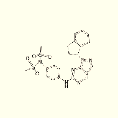 CS(=O)(=O)N(c1ccc(Nc2ncc3cnn([C@@H]4CCc5ccccc54)c3n2)cc1)S(C)(=O)=O